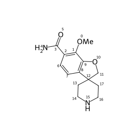 COc1c(C(N)=O)ccc2c1OCC21CCNCC1